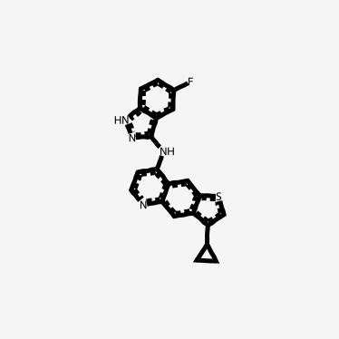 Fc1ccc2[nH]nc(Nc3ccnc4cc5c(C6CC6)csc5cc34)c2c1